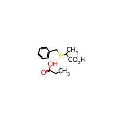 CC(SCc1ccccc1)C(=O)O.CCC(=O)O